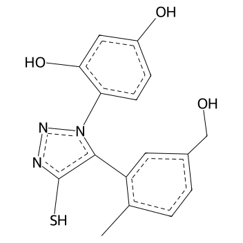 Cc1ccc(CO)cc1-c1c(S)nnn1-c1ccc(O)cc1O